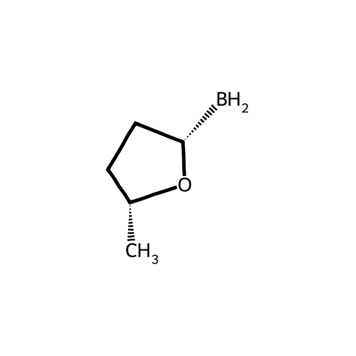 B[C@H]1CC[C@@H](C)O1